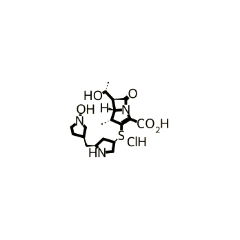 C[C@@H](O)[C@H]1C(=O)N2C(C(=O)O)=C(S[C@@H]3CN[C@@H](C[C@H]4CCN(O)C4)C3)[C@H](C)[C@H]12.Cl